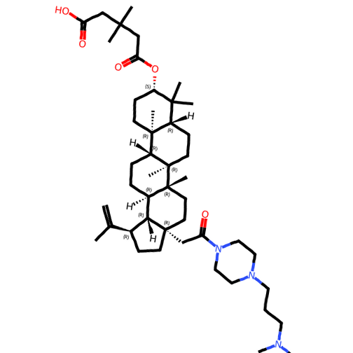 C=C(C)[C@@H]1CC[C@]2(CC(=O)N3CCN(CCCN(C)C)CC3)CC[C@]3(C)[C@H](CC[C@@H]4[C@@]5(C)CC[C@H](OC(=O)CC(C)(C)CC(=O)O)C(C)(C)[C@@H]5CC[C@]43C)[C@@H]12